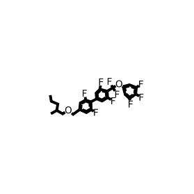 CCCC(C)COCc1cc(F)c(-c2cc(F)c(C(F)(F)Oc3cc(F)c(F)c(F)c3)c(F)c2)c(F)c1